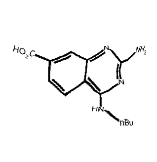 CCCCNc1nc(N)nc2cc(C(=O)O)ccc12